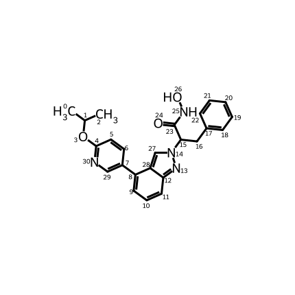 CC(C)Oc1ccc(-c2cccc3nn(C(Cc4ccccc4)C(=O)NO)cc23)cn1